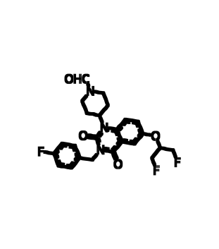 O=CN1CCC(n2c(=O)n(Cc3ccc(F)cc3)c(=O)c3cc(OC(CF)CF)ccc32)CC1